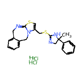 CC1(c2ccccc2)CN=C(SCC2=CSC3=NCc4ccccc4CN23)N1.Cl.Cl